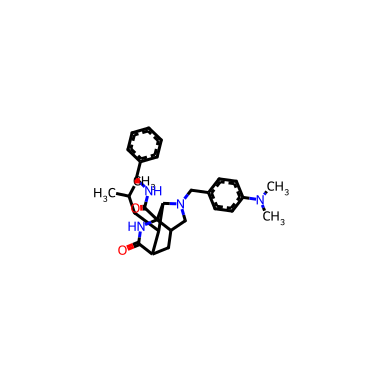 CC(C)CC1C2CC3CN(Cc4ccc(N(C)C)cc4)C1C3(C(=O)NCc1ccccc1)NC2=O